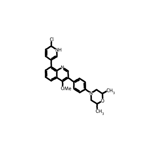 COc1c(-c2ccc(N3CC(C)OC(C)C3)cc2)cnc2c(C3=CNC(Cl)C=C3)cccc12